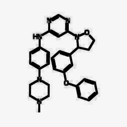 CN1CCN(c2ccc(Nc3cc(N4OCCC4c4cccc(Oc5ccccc5)c4)ncn3)cc2)CC1